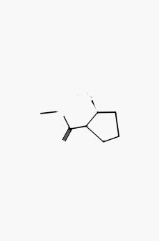 COC(=O)C1CCC[C@@H]1N